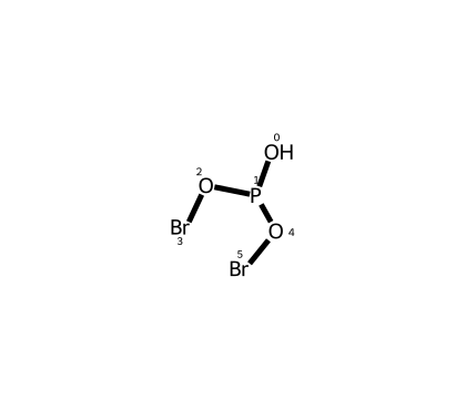 OP(OBr)OBr